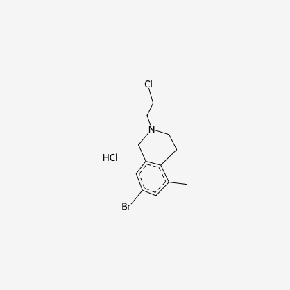 Cc1cc(Br)cc2c1CCN(CCCl)C2.Cl